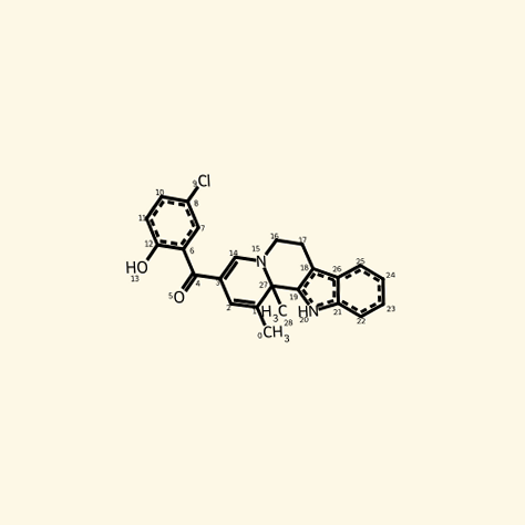 CC1=CC(C(=O)c2cc(Cl)ccc2O)=CN2CCc3c([nH]c4ccccc34)C12C